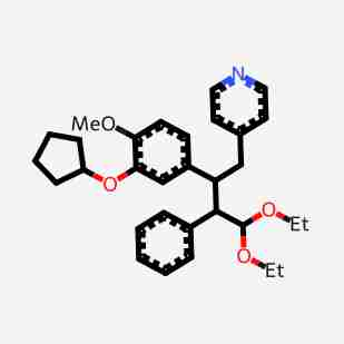 CCOC(OCC)C(c1ccccc1)C(Cc1ccncc1)c1ccc(OC)c(OC2CCCC2)c1